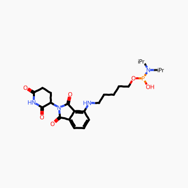 CC(C)N(C(C)C)P(O)OCCCCCNc1cccc2c1C(=O)N(C1CCC(=O)NC1=O)C2=O